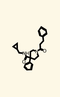 O=C(CCc1ccccc1)N1CCC(C(=O)NCC2CC2)(c2ccccc2)CC1